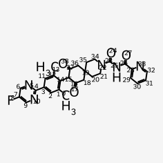 Cc1cc(-c2ncc(F)cn2)cc(C)c1C1C(=O)CC2(CCN(C(=O)NC(=O)c3ccccn3)CC2)CC1=O